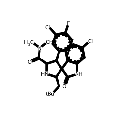 CN(C)C(=O)C1NC(CC(C)(C)C)C2(C(=O)Nc3cc(Cl)ccc32)C1c1ccc(F)c(Cl)c1